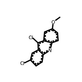 COc1ccc2nc3ccc(Cl)cc3c(Cl)c2c1